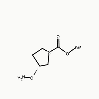 CC(C)(C)OC(=O)N1CC[C@@H](ON)C1